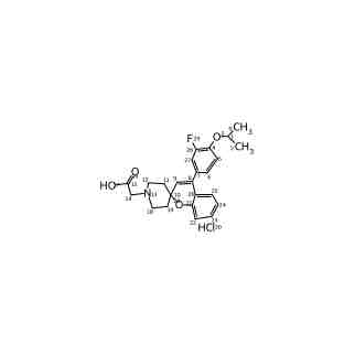 CC(C)Oc1ccc(C2=CC3(CCN(CC(=O)O)CC3)Oc3ccccc32)cc1F.Cl